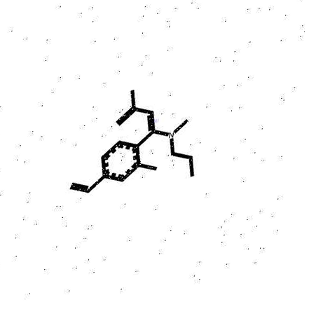 C=Cc1ccc(/C(=C\C(=C)C)N(C)CCC)c(C)c1